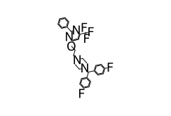 Fc1ccc(C(c2ccc(F)cc2)N2CCN(CCOc3cc(C(F)(F)F)nc(-c4ccccc4)n3)CC2)cc1